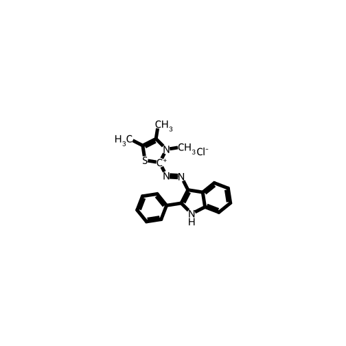 Cc1s[c+](N=Nc2c(-c3ccccc3)[nH]c3ccccc23)n(C)c1C.[Cl-]